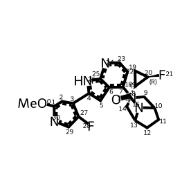 COc1cc(-c2cc3c(N4CC5CCC(C4)N5C(=O)[C@@H]4C[C@H]4F)ccnc3[nH]2)c(F)cn1